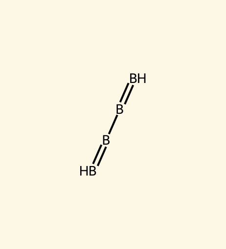 B=BB=B